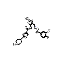 Cl.O=C(Nc1nonc1/C=N/ONc1ccc(F)c(Br)c1)c1csc(C2CCNCC2)n1